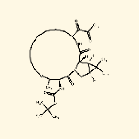 CC(=O)C(=O)[C@@H]1CCCCCCCCOC(C)[C@H](NC(=O)OC(C)(C)C)C(=O)N2C[C@H]3[C@@H]([C@H]2C(=O)N1)C3(C)C